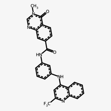 Cn1cnc2cc(C(=O)Nc3cccc(Nc4cc(C(F)(F)F)nc5ccccc45)c3)ccc2c1=O